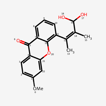 COc1ccc2c(=O)c3cccc(C(C)=C(C)C(O)O)c3oc2c1